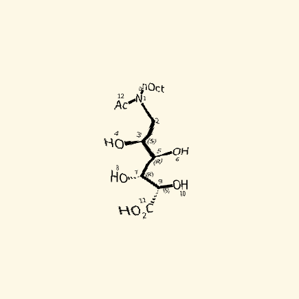 CCCCCCCCN(C[C@H](O)[C@@H](O)[C@@H](O)[C@H](O)C(=O)O)C(C)=O